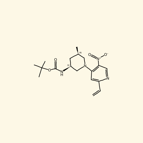 C=Cc1cc(N2C[C@H](C)C[C@H](NC(=O)OC(C)(C)C)C2)c([N+](=O)[O-])cn1